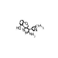 Cn1cc(-c2c(N)nnc3c2COc2cccc(O)c2-3)cn1